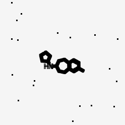 Cc1ccc2c(c1)CCC(NC1CCCC1)CC2